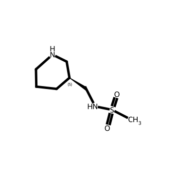 CS(=O)(=O)NC[C@H]1CCCNC1